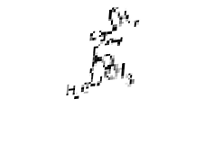 CCC(=O)NCC(COC)OC